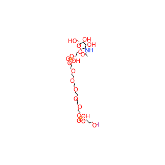 CC(=O)N[C@H]1[C@H](OCCOP(=O)(O)OCCOCCOCCOCCOCCOCCOP(=O)(O)OCCCOI)O[C@H](CO)[C@H](O)[C@@H]1O